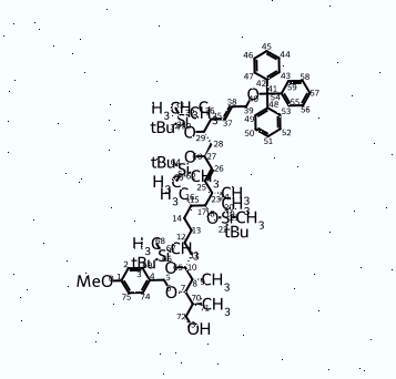 COc1ccc(CO[C@H]([C@@H](C)[C@@H](CCCC[C@H](C)[C@@H](O[Si](C)(C)C(C)(C)C)[C@@H](C)C=C[C@H](C[C@H](O[Si](C)(C)C(C)(C)C)[C@H](C)C=CCOC(c2ccccc2)(c2ccccc2)c2ccccc2)O[Si](C)(C)C(C)(C)C)O[Si](C)(C)C(C)(C)C)[C@@H](C)CO)cc1